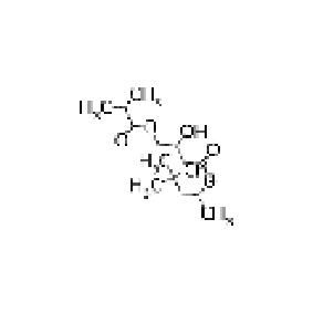 CC(CC(C)(C)C)OC(=O)CC(O)COC(=O)C(C)C